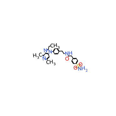 CCc1nc2c(C)nc(C)cc2n1-c1ccc(CCNC(=O)Cc2ccc(S(N)(=O)=O)cc2)cc1